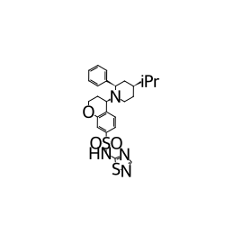 CC(C)[C@H]1CCN([C@@H]2CCOc3cc(S(=O)(=O)Nc4ncns4)ccc32)[C@@H](c2ccccc2)C1